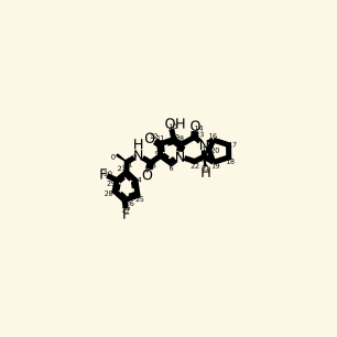 C[C@@H](NC(=O)c1cn2c(c(O)c1=O)C(=O)N1C3CCC(C3)[C@@H]1C2)c1ccc(F)cc1F